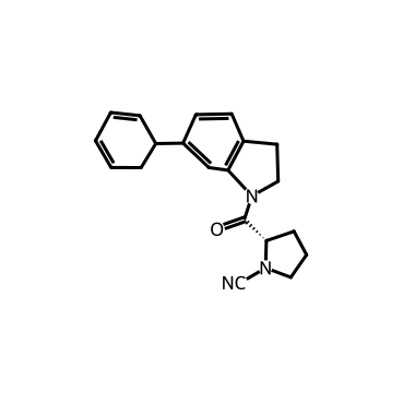 N#CN1CCC[C@H]1C(=O)N1CCc2ccc(C3C=CC=CC3)cc21